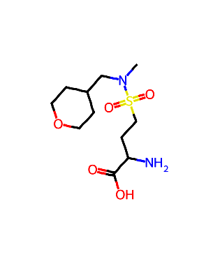 CN(CC1CCOCC1)S(=O)(=O)CCC(N)C(=O)O